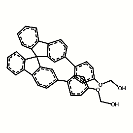 OCOc1ccc(-c2ccc3c(c2)C2(c4ccccc4-3)c3ccccc3-c3ccc(-c4ccc(OCO)cc4)cc32)cc1